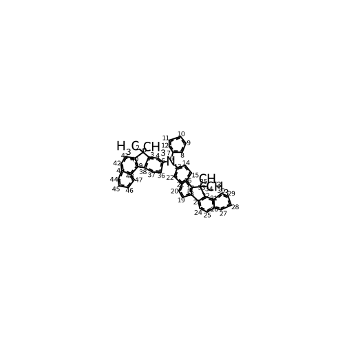 CC1(C)c2cc(N(c3ccccc3)c3ccc4c5c(ccc4c3)-c3ccc4ccccc4c3C5(C)C)ccc2-c2c1ccc1ccccc21